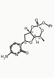 CC(C)OP1(=O)O[C@@H](C)[C@H]2O[C@@H](n3ccc(N)nc3=O)C[C@@H]2O1